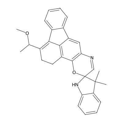 COC(C)C1=C2c3ccccc3-c3cc4c(c(c32)CC1)OC1(C=N4)Nc2ccccc2C1(C)C